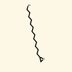 CC(C)CCCCCCCCCCCCCC1CO1